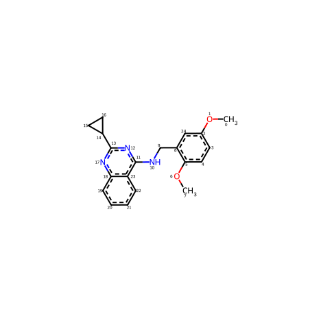 COc1ccc(OC)c(CNc2nc(C3CC3)nc3ccccc23)c1